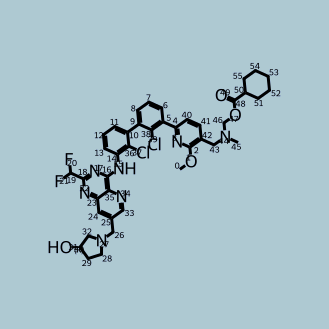 COc1nc(-c2cccc(-c3cccc(Nc4nc(C(F)F)nc5cc(CN6CC[C@@H](O)C6)cnc45)c3Cl)c2Cl)ccc1CN(C)COC(=O)C1CCCCC1